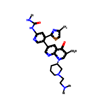 CCNC(=O)Nc1cc(-c2nc(C(F)(F)F)cs2)c(-c2cnc3c(c2)c(=O)c(C(=O)O)cn3[C@H]2CCCN(CCN(CC)CC)C2)cn1